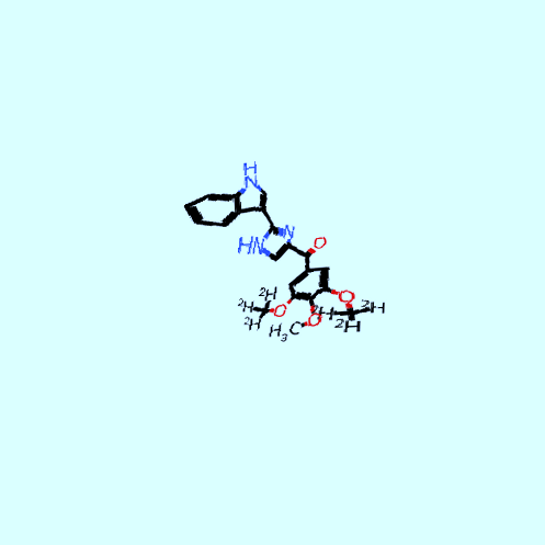 [2H]C([2H])([2H])Oc1cc(C(=O)c2c[nH]c(-c3c[nH]c4ccccc34)n2)cc(OC([2H])([2H])[2H])c1OC